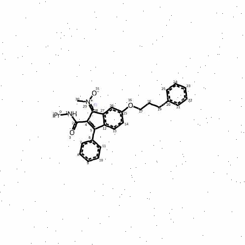 CC(C)NC(=O)C1=C(c2ccccc2)c2ccc(OCCCc3ccccc3)cc2/C1=[N+](/C)[O-]